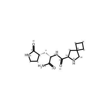 NC(=O)[C@H](C[C@@H]1CCNC1=O)NC(=O)C1CC2(CCC2)CN1